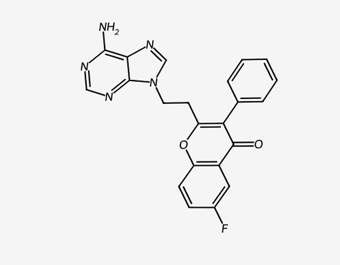 Nc1ncnc2c1ncn2CCc1oc2ccc(F)cc2c(=O)c1-c1ccccc1